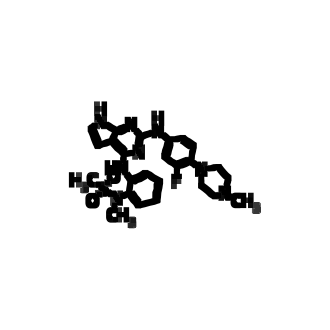 CN1CCN(c2ccc(Nc3nc(Nc4ccccc4N(C)S(C)(=O)=O)c4cc[nH]c4n3)cc2F)CC1